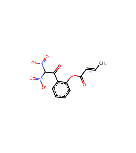 C/C=C/C(=O)Oc1ccccc1C(=O)C([N+](=O)[O-])[N+](=O)[O-]